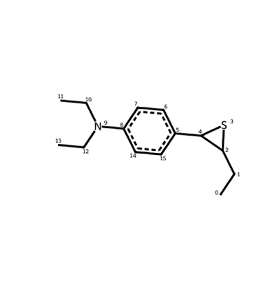 CCC1SC1c1ccc(N(CC)CC)cc1